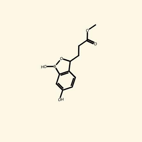 COC(=O)CCC1OB(O)c2cc(O)ccc21